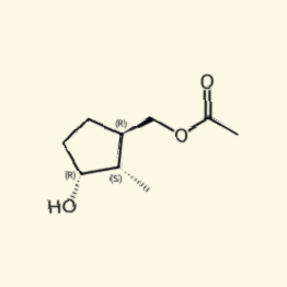 CC(=O)OC[C@@H]1CC[C@@H](O)[C@H]1C